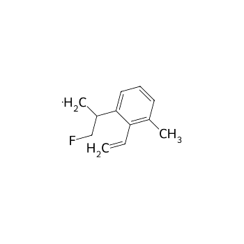 [CH2]C(CF)c1cccc(C)c1C=C